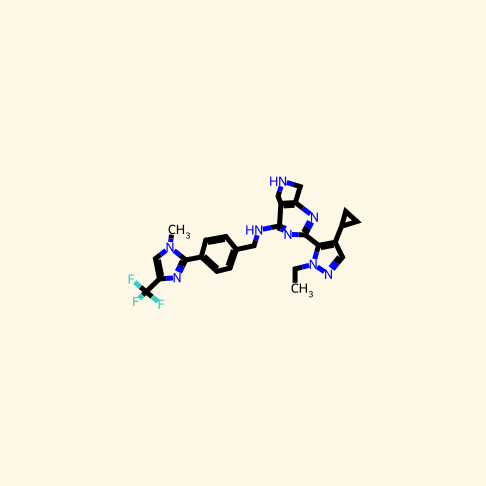 CCn1ncc(C2CC2)c1-c1nc2c(c(NCc3ccc(-c4nc(C(F)(F)F)cn4C)cc3)n1)CNC2